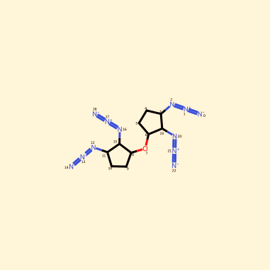 [N-]=[N+]=NC1CCC(OC2CCC(N=[N+]=[N-])C2N=[N+]=[N-])C1N=[N+]=[N-]